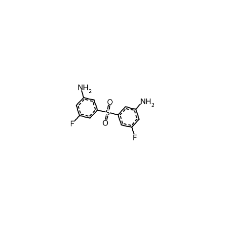 Nc1cc(F)cc(S(=O)(=O)c2cc(N)cc(F)c2)c1